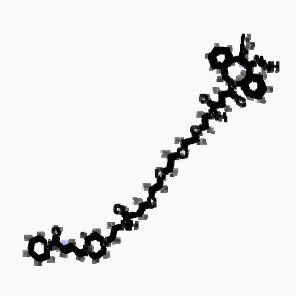 N=N/C1=C(\N)c2ccccc2CN(C(=O)CCC(=O)NCCOCCOCCOCCOCCC(=O)NCCN2CCN(C/C=C/C(=O)N3CCCCC3)CC2)c2ccccc21